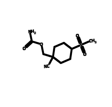 CS(=O)(=O)C1CCC(C#N)(COC(N)=O)CC1